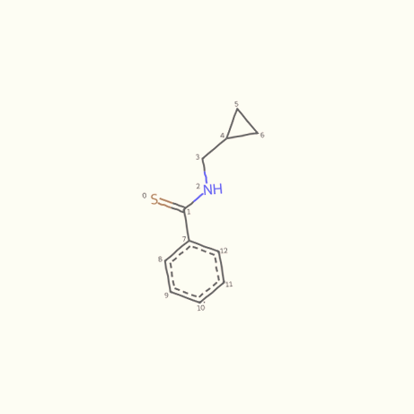 S=C(NCC1CC1)c1cc[c]cc1